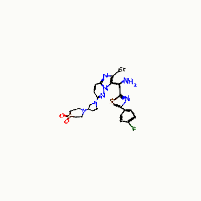 CCc1nc2ccc(N3CCC(N4CCS(=O)(=O)CC4)C3)nn2c1C(N)c1nc(-c2ccc(F)cc2)cs1